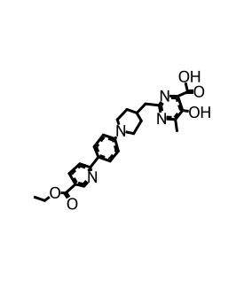 CCOC(=O)c1ccc(-c2ccc(N3CCC(Cc4nc(C)c(O)c(C(=O)O)n4)CC3)cc2)nc1